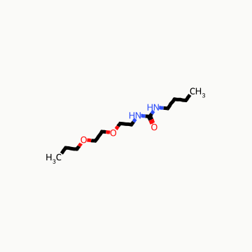 CCCCNC(=O)NCCOCCOCCC